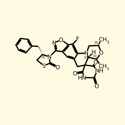 C[C@@H]1CN2c3c(cc4c(N5C(=O)SC[C@@H]5Cc5ccccc5)noc4c3F)CC3(C(=O)NC(=O)NC3=O)[C@H]2[C@H](C)O1